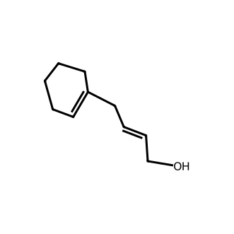 OCC=CCC1=CCCCC1